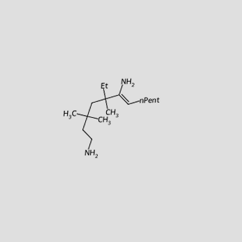 CCCCCC=C(N)C(C)(CC)CC(C)(C)CCN